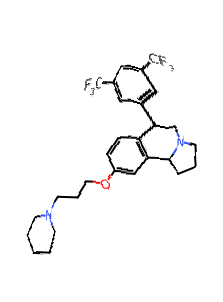 FC(F)(F)c1cc(C2CN3CCCC3c3cc(OCCCN4CCCCC4)ccc32)cc(C(F)(F)F)c1